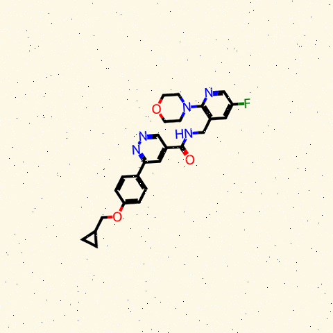 O=C(NCc1cc(F)cnc1N1CCOCC1)c1cnnc(-c2ccc(OCC3CC3)cc2)c1